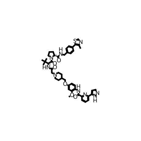 COc1cc(OCC2CCN(CC(=O)N[C@H](C(=O)N3CCC[C@H]3C(=O)NCc3ccc(-c4scnc4C)cc3)C(C)(C)C)CC2)ccc1NC(=O)c1cccc(-c2ccn[nH]2)n1